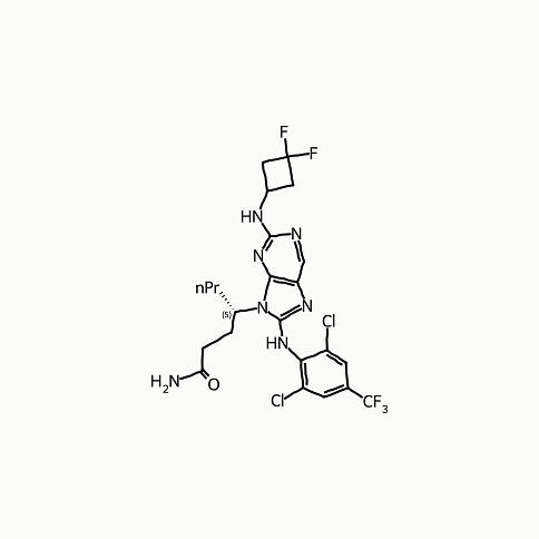 CCC[C@@H](CCC(N)=O)n1c(Nc2c(Cl)cc(C(F)(F)F)cc2Cl)nc2cnc(NC3CC(F)(F)C3)nc21